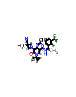 Cc1nc(NC(C)c2cccc(C(F)F)c2F)c2cn(C3(CF)CC3)c(=O)c(N3CC(C)(C#N)C3)c2n1